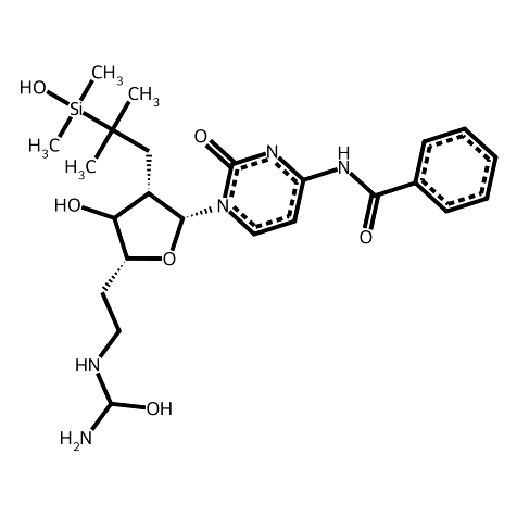 CC(C)(C[C@H]1C(O)[C@@H](CCNC(N)O)O[C@H]1n1ccc(NC(=O)c2ccccc2)nc1=O)[Si](C)(C)O